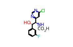 O=C(O)N[C@H](c1cc(Cl)ncn1)[C@@H](O)c1cccc(F)c1